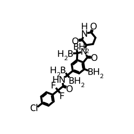 Bc1cc(C(B)(B)NC(=O)C(F)(F)c2ccc(Cl)cc2)cc2c1C(=O)N(C1CCC(=O)NC1=O)C2(B)B